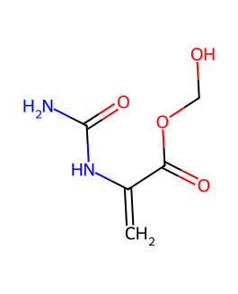 C=C(NC(N)=O)C(=O)OCO